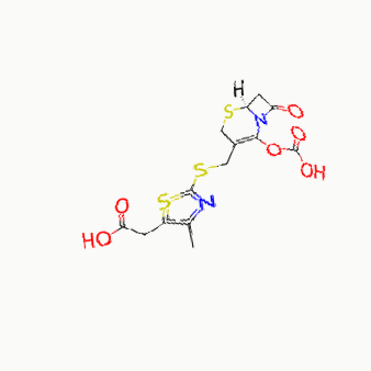 Cc1nc(SCC2=C(OC(=O)O)N3C(=O)C[C@@H]3SC2)sc1CC(=O)O